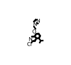 CC(C)c1ccc(OCCn2ccnc2)c2cnc(Cl)cc12